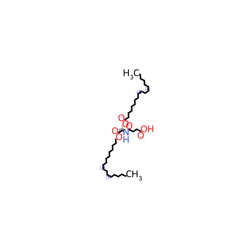 CCCCC/C=C\C/C=C\CCCCCCCCOC(=O)[C@H](COC(=O)CCCCCCC/C=C\C/C=C\CCCCC)NC(=O)CCC(=O)O